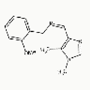 COc1ccccc1C/N=C\c1ncn(C)c1C